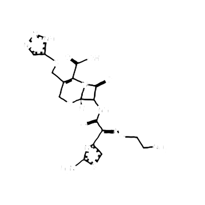 NCCON=C(C(=O)NC1C(=O)N2C(C(=O)O)=C(CSc3cnn[nH]3)CS[C@@H]12)c1csc(N)n1